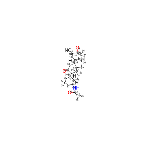 CC1(C)C[C@H]2[C@H](CC[C@]3(C)[C@@H]2C(=O)C[C@@H]2[C@@]4(C)C=C(C#N)C(=O)C(C)(C)[C@@H]4CC[C@]23C)[C@H](NC(=O)C2CC2)C1